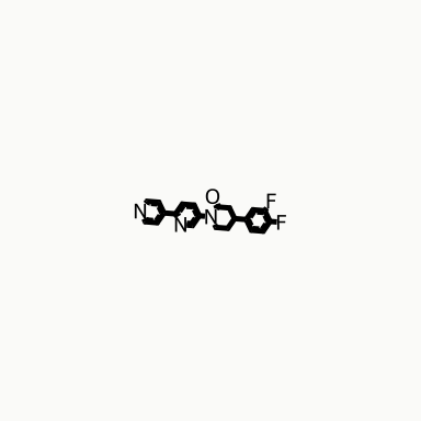 O=C1CC(c2ccc(F)c(F)c2)CCN1c1ccc(-c2ccncc2)nc1